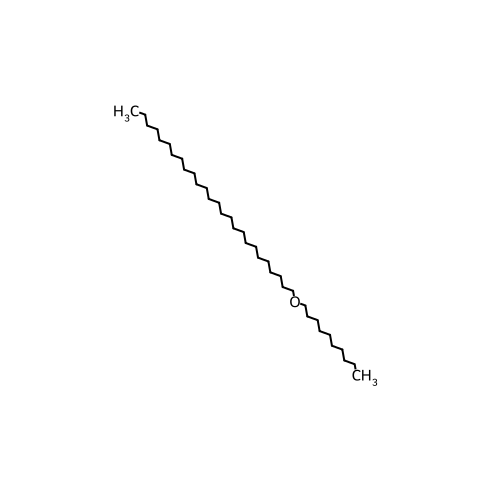 CCCCCCCCCCCCCCCCCCCCCCCCCCOCCCCCCCCCC